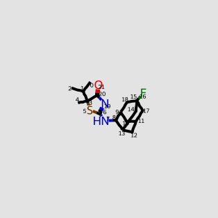 CC(C)C1(C)SC(NC2C3CC4CC2CC(F)(C4)C3)=NC1=O